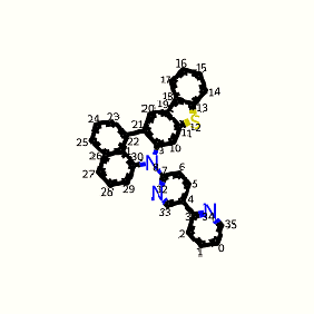 c1ccc(-c2ccc(N3c4cc5sc6ccccc6c5cc4-c4cccc5cccc3c45)nc2)nc1